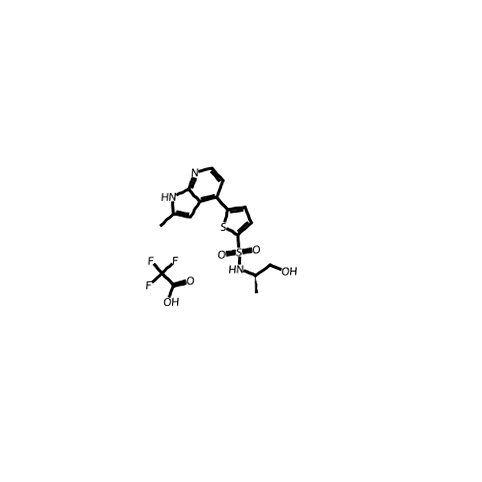 Cc1cc2c(-c3ccc(S(=O)(=O)N[C@H](C)CO)s3)ccnc2[nH]1.O=C(O)C(F)(F)F